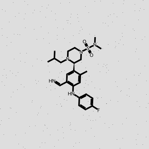 Cc1cc(Nc2ccc(F)cc2)c(C=N)cc1[C@@H]1CN(S(=O)(=O)N(C)C)CCN1CC(C)C